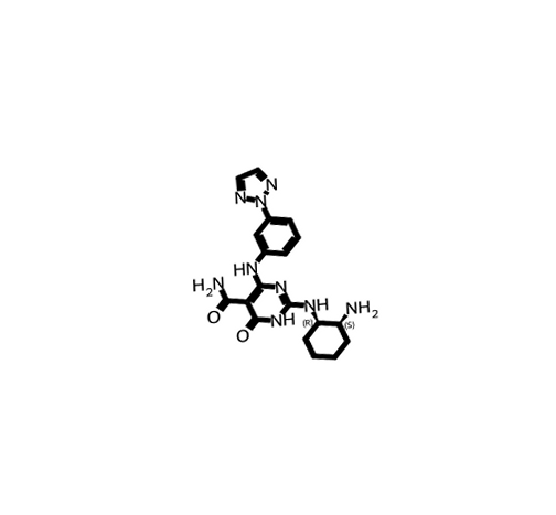 NC(=O)c1c(Nc2cccc(-n3nccn3)c2)nc(N[C@@H]2CCCC[C@@H]2N)[nH]c1=O